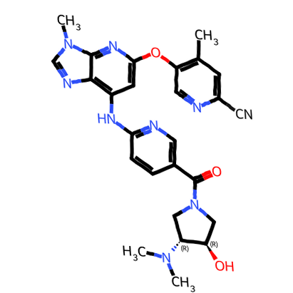 Cc1cc(C#N)ncc1Oc1cc(Nc2ccc(C(=O)N3C[C@@H](O)[C@H](N(C)C)C3)cn2)c2ncn(C)c2n1